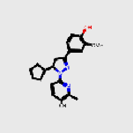 COc1cc(C2=NN(c3ccc(C#N)c(C)n3)C(C3CCCC3)C2)ccc1O